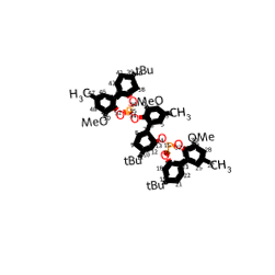 COc1cc(C)cc(-c2ccc(C(C)(C)C)cc2Op2oc3cc(C(C)(C)C)ccc3c3cc(C)cc(OC)c3o2)c1Op1oc2cc(C(C)(C)C)ccc2c2cc(C)cc(OC)c2o1